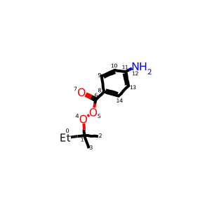 CCC(C)(C)OOC(=O)c1ccc(N)cc1